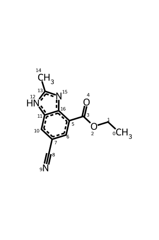 CCOC(=O)c1cc(C#N)cc2[nH]c(C)nc12